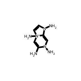 NC1=C[N+]2(N)C=CN(N)C2=CN1N